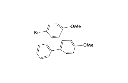 COc1ccc(-c2ccccc2)cc1.COc1ccc(Br)cc1